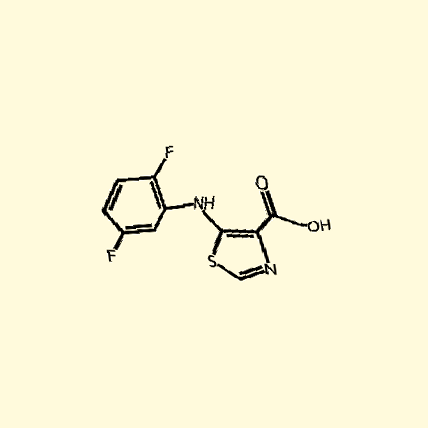 O=C(O)c1ncsc1Nc1cc(F)ccc1F